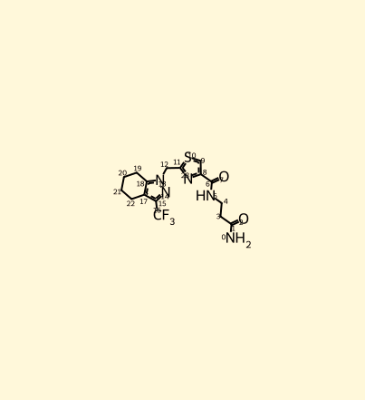 NC(=O)CCNC(=O)c1csc(Cn2nc(C(F)(F)F)c3c2CCCC3)n1